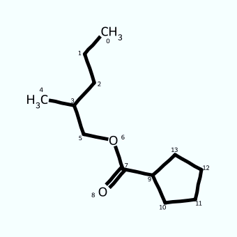 CCCC(C)COC(=O)C1CCCC1